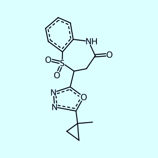 CC1(c2nnc(C3CC(=O)Nc4ccccc4S3(=O)=O)o2)CC1